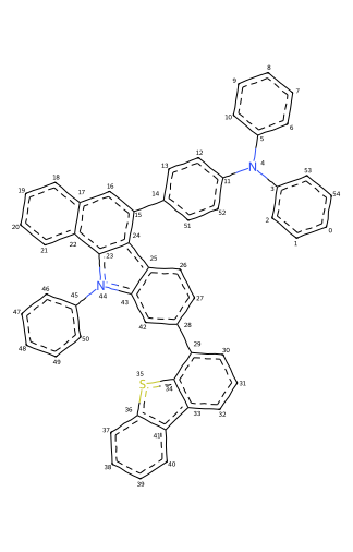 c1ccc(N(c2ccccc2)c2ccc(-c3cc4ccccc4c4c3c3ccc(-c5cccc6c5sc5ccccc56)cc3n4-c3ccccc3)cc2)cc1